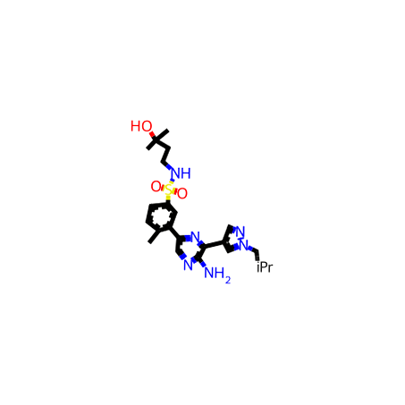 Cc1ccc(S(=O)(=O)NCCC(C)(C)O)cc1-c1cnc(N)c(-c2cnn(CC(C)C)c2)n1